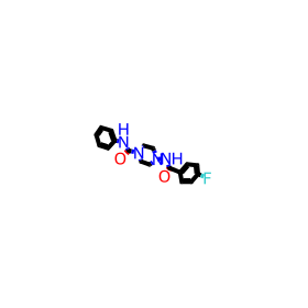 O=C(NN1CCN(C(=O)Nc2ccccc2)CC1)c1ccc(F)cc1